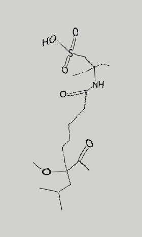 COC(CCCCC(=O)NC(C)(C)CS(=O)(=O)O)(CC(C)C)C(C)=O